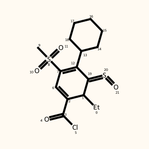 CCC1C(C(=O)Cl)=CC(S(C)(=O)=O)=C(C2CCCCC2)C1=S=O